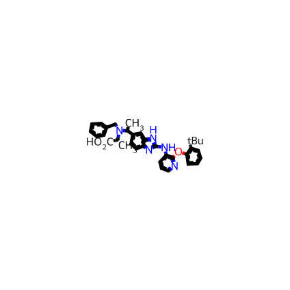 CC(C(=O)O)N(Cc1ccccc1)C(C)c1ccc2nc(Nc3cccnc3Oc3ccccc3C(C)(C)C)[nH]c2c1